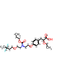 CCCOC(=O)N(CCOCCC(C)(F)F)CCOc1ccc(CC(OCC)C(=O)O)cc1